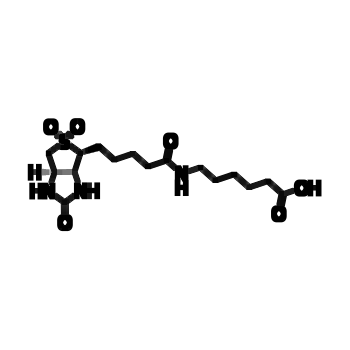 O=C(O)CCCCCNC(=O)CCCC[C@H]1C2NC(=O)N[C@H]2CS1(=O)=O